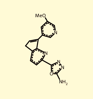 COc1cncc(C2=CCc3ccc(-c4nnc(N)o4)nc32)c1